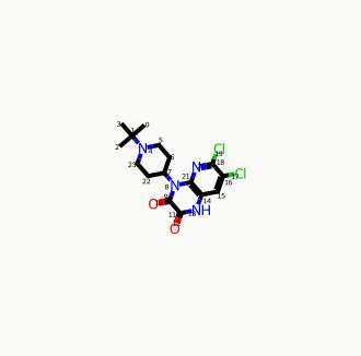 CC(C)(C)N1CCC(n2c(=O)c(=O)[nH]c3cc(Cl)c(Cl)nc32)CC1